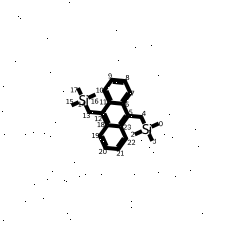 C[Si](C)(C)Cc1c2ccccc2c(C[Si](C)(C)C)c2ccccc12